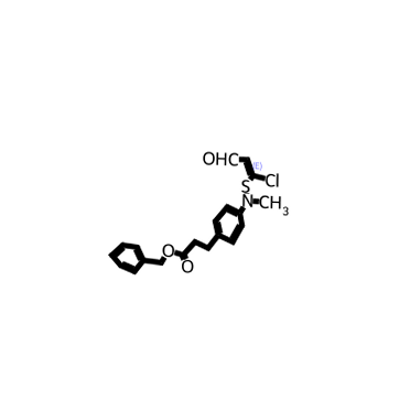 CN(S/C(Cl)=C\C=O)c1ccc(CCC(=O)OCc2ccccc2)cc1